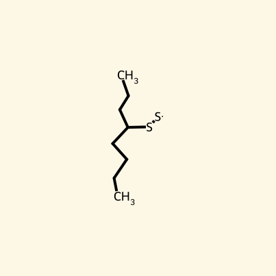 CCCCC(CCC)S[S]